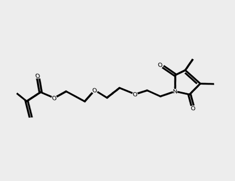 C=C(C)C(=O)OCCOCCOCCN1C(=O)C(C)=C(C)C1=O